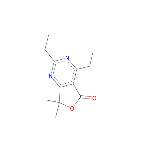 CCc1nc(CC)c2c(n1)C(C)(C)OC2=O